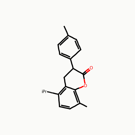 Cc1ccc(C2Cc3c(C(C)C)ccc(C)c3OC2=O)cc1